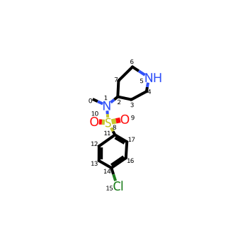 CN(C1CCNCC1)S(=O)(=O)c1ccc(Cl)cc1